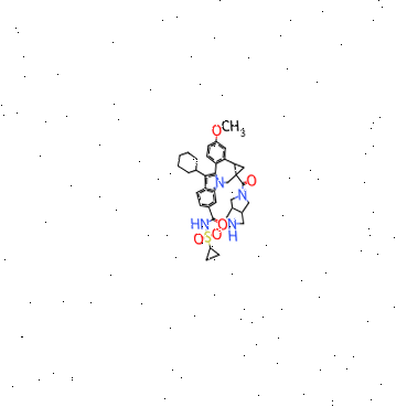 COc1ccc2c(c1)C1CC1(C(=O)N1CC3CNCC3C1)Cn1c-2c(C2CCCCC2)c2ccc(C(=O)NS(=O)(=O)C3CC3)cc21